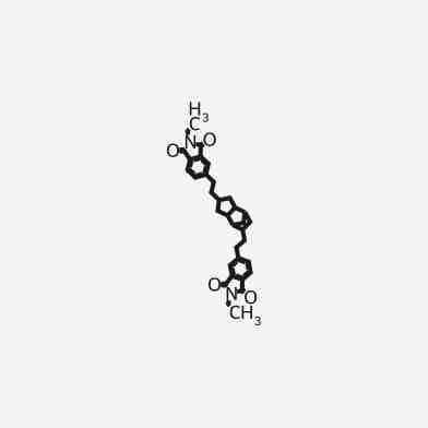 CCN1C(=O)c2ccc(CCC3CC4C5CC(CCc6ccc7c(c6)C(=O)N(CC)C7=O)C(C5)C4C3)cc2C1=O